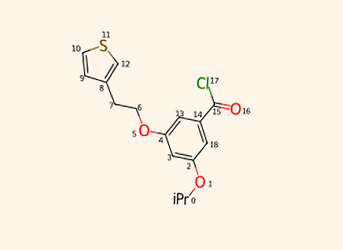 CC(C)Oc1cc(OCCc2ccsc2)cc(C(=O)Cl)c1